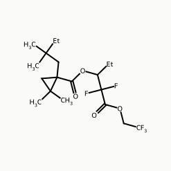 CCC(OC(=O)C1(CC(C)(C)CC)CC1(C)C)C(F)(F)C(=O)OCC(F)(F)F